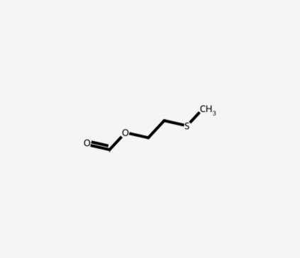 CSCCO[C]=O